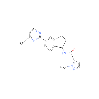 Cc1ccnc(-c2ccc3c(c2)CCC3NC(=O)c2ccnn2C)n1